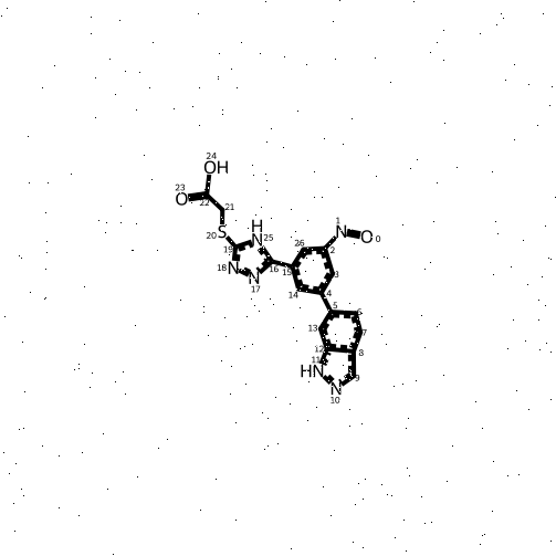 O=Nc1cc(-c2ccc3cn[nH]c3c2)cc(-c2nnc(SCC(=O)O)[nH]2)c1